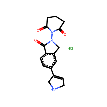 Cl.O=C1c2ccc(C3=CCNC3)cc2CN1N1C(=O)CCCC1=O